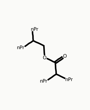 CCCC(CCC)COC(=O)C(CCC)CCC